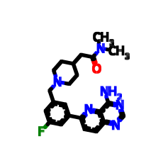 CN(C)C(=O)CC1CCN(Cc2cc(F)cc(-c3ccc4ncnc(N)c4n3)c2)CC1